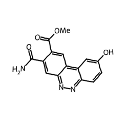 COC(=O)c1cc2c(cc1C(N)=O)nnc1ccc(O)cc12